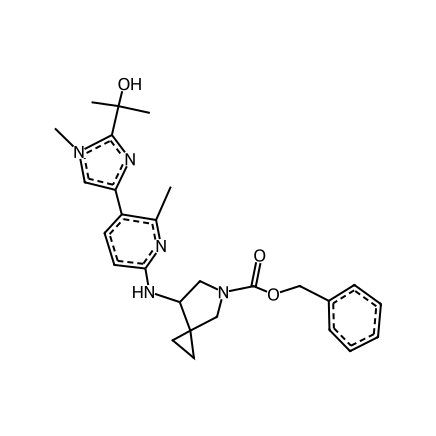 Cc1nc(NC2CN(C(=O)OCc3ccccc3)CC23CC3)ccc1-c1cn(C)c(C(C)(C)O)n1